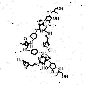 Cn1cnc(CCNc2nc(N[C@H]3CC[C@H](Nc4c(N[C@H]5CC[C@H](Nc6nc(NCCc7cn(C)cn7)nc7c6ncn7[C@@H]6C[C@H](NC(=O)CO)[C@@H](O)[C@H]6O)CC5)c(=O)c4=O)CC3)c3ncn([C@@H]4C[C@H](NC(=O)CO)[C@@H](O)[C@H]4O)c3n2)c1